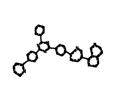 c1ccc(-c2nc(-c3ccc(-c4ccccn4)cc3)nc(-c3ccc(-c4ccc(-c5cccc6ccncc56)cn4)cc3)n2)cc1